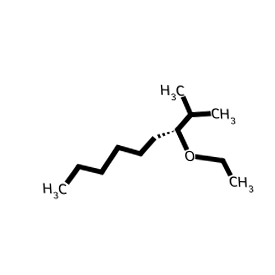 CCCCCC[C@@H](OCC)C(C)C